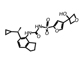 C[C@@H](c1ccc2c(c1NC(=O)NS(=O)(=O)c1cc(C3(O)COC3)co1)CCC2)C1CC1